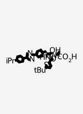 CC(C)c1ccc(-c2cnc(-c3ccc(C[C@H](NC(=O)c4ccc(C(C)(C)C)s4)C(O)N[C@H](C)C(=O)O)cc3)nc2)cc1